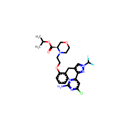 CC(C)OC(=O)[C@H]1COCCN1CCOc1ccccc1Cc1cn(C(F)F)nc1-c1cc(Cl)nc(N)n1